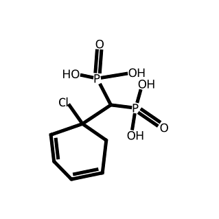 O=P(O)(O)C(C1(Cl)C=CC=CC1)P(=O)(O)O